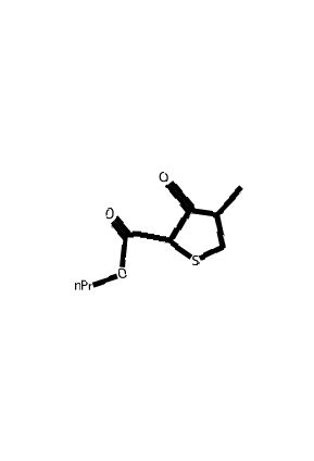 CCCOC(=O)C1SCC(C)C1=O